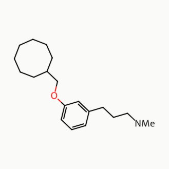 CNCCCc1cccc(OCC2CCCCCCC2)c1